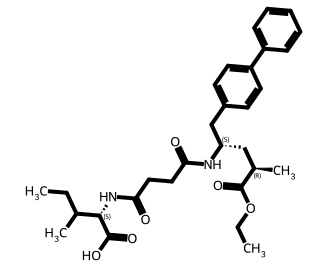 CCOC(=O)[C@H](C)C[C@@H](Cc1ccc(-c2ccccc2)cc1)NC(=O)CCC(=O)N[C@H](C(=O)O)C(C)CC